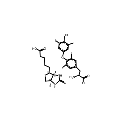 NC(Cc1cc(I)c(Oc2cc(I)c(O)c(I)c2)c(I)c1)C(=O)O.O=C(O)CCCC[C@@H]1SC[C@@H]2NC(=O)N[C@@H]21